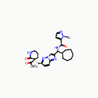 CCn1nccc1C(=O)N[C@H](c1cn2nc(C[C@@]3(C(=O)OC)CCCNC3=O)ccc2n1)C1CCCCCC1